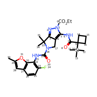 CCOC(=O)n1nc2c(c1NC(=O)C1([Si](C)(C)C)CCC1)CN(C(=O)Nc1c(F)ccc3cc(C)oc13)C2(C)C